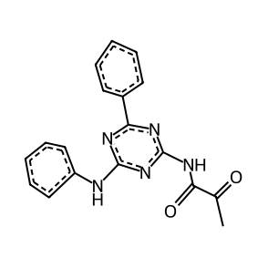 CC(=O)C(=O)Nc1nc(Nc2ccccc2)nc(-c2ccccc2)n1